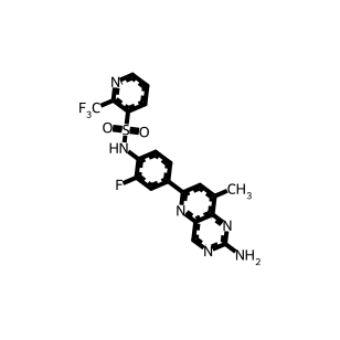 Cc1cc(-c2ccc(NS(=O)(=O)c3cccnc3C(F)(F)F)c(F)c2)nc2cnc(N)nc12